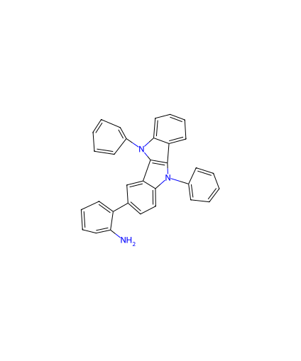 Nc1ccccc1-c1ccc2c(c1)c1c(c3ccccc3n1-c1ccccc1)n2-c1ccccc1